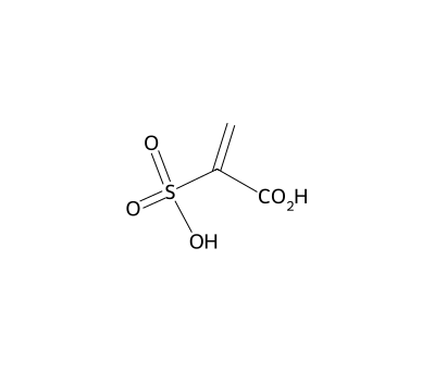 C=C(C(=O)O)S(=O)(=O)O